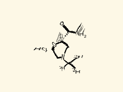 Cl.[2H]C([2H])([2H])N1CCO[C@H](C(N)=O)C1